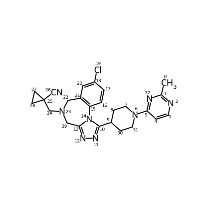 Cc1nccc(N2CCC(c3nnc4n3-c3ccc(Cl)cc3CN(CC3(C#N)CC3)C4)CC2)n1